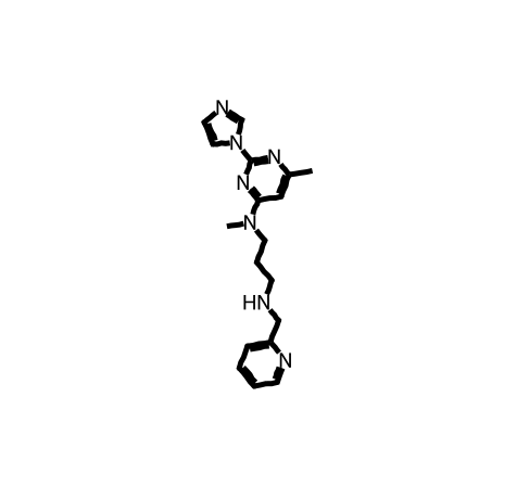 Cc1cc(N(C)CCCNCc2ccccn2)nc(-n2ccnc2)n1